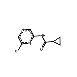 O=C(Nc1cncc(Br)n1)C1CC1